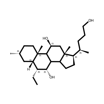 CC[C@H]1[C@@H](O)C2C3CC[C@H]([C@H](C)CCCO)[C@@]3(C)C[C@H](O)C2[C@@]2(C)CC[C@@H](C)C[C@@H]12